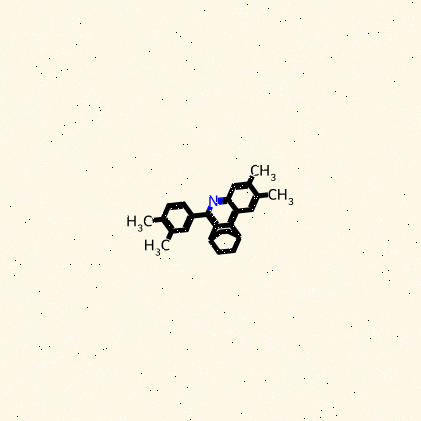 Cc1ccc(-c2nc3cc(C)c(C)cc3c3c2C2CCC3CC2)cc1C